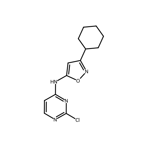 Clc1nccc(Nc2cc(C3CCCCC3)no2)n1